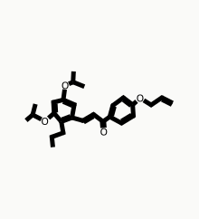 C=CCOc1ccc(C(=O)/C=C/c2cc(OC(C)C)cc(OC(C)C)c2CCC)cc1